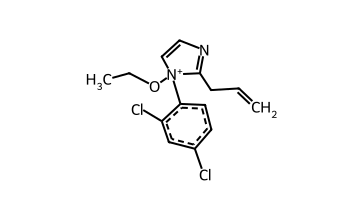 C=CCC1=NC=C[N+]1(OCC)c1ccc(Cl)cc1Cl